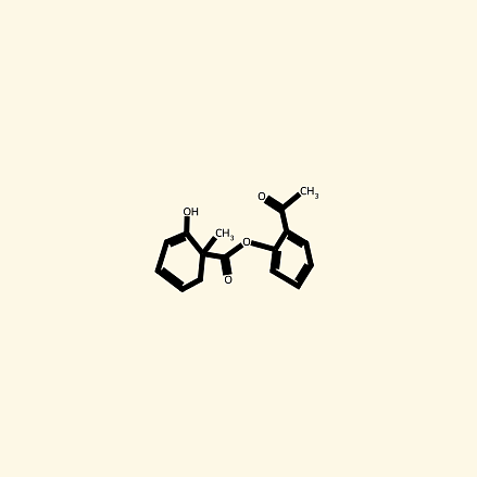 CC(=O)c1ccccc1OC(=O)C1(C)CC=CC=C1O